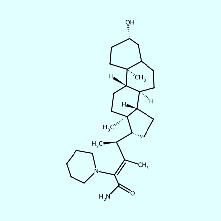 CC(=C(C(N)=O)N1CCCCC1)[C@@H](C)[C@H]1CC[C@H]2[C@@H]3CCC4C[C@@H](O)CC[C@]4(C)[C@H]3CC[C@]12C